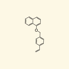 C=Cc1ccc(COc2cccc3ccccc23)cc1